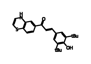 CC(C)(C)c1cc(C=CC(=O)c2ccc3c(c2)NC=CS3)cc(C(C)(C)C)c1O